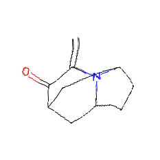 C=C1C(=O)C2CC3CCC(C2)N13